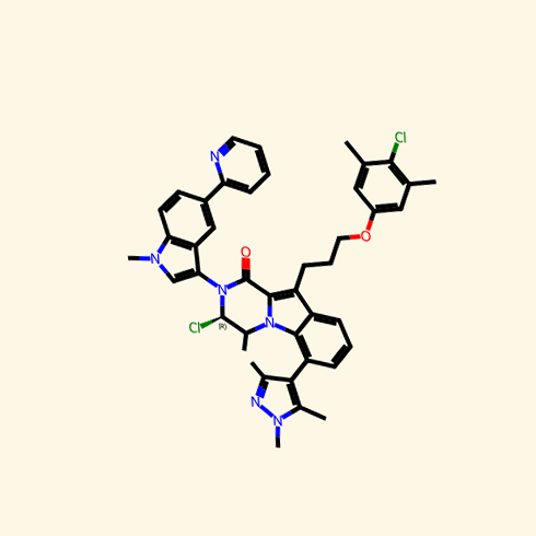 Cc1cc(OCCCc2c3n(c4c(-c5c(C)nn(C)c5C)cccc24)C(C)[C@@H](Cl)N(c2cn(C)c4ccc(-c5ccccn5)cc24)C3=O)cc(C)c1Cl